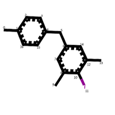 Cc1ccc(Cc2cc(C)c(I)c(C)c2)cc1